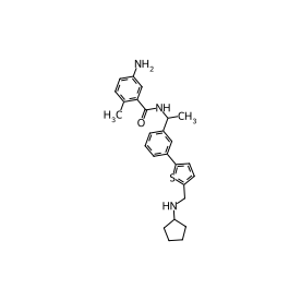 Cc1ccc(N)cc1C(=O)NC(C)c1cccc(-c2ccc(CNC3CCCC3)s2)c1